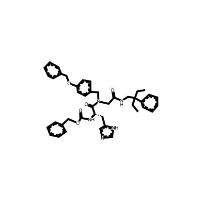 CCC(CC)(CNC(=O)CN(Cc1ccc(OCc2ccccc2)cc1)C(=O)[C@H](Cc1cnc[nH]1)NC(=O)OCc1ccccc1)c1ccccc1